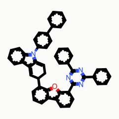 C1=c2c(n(-c3ccc(-c4ccccc4)cc3)c3ccccc23)=CCC1c1cccc2c1oc1c(-c3nc(-c4ccccc4)nc(-c4ccccc4)n3)cccc12